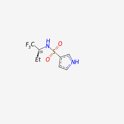 CC[C@H](NS(=O)(=O)c1cc[nH]c1)C(F)(F)F